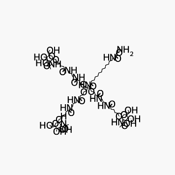 CC(=O)N[C@H]1C(O)[C@@H](O)C(CO)O[C@H]1OCCCCC(=O)NCCCNC(=O)CCOCC(COCCC(=O)NCCCNC(=O)CCCCO[C@@H]1OC(CO)[C@H](O)C(O)[C@@H]1NC(C)=O)(COCCC(=O)NCCCNC(=O)CCCCO[C@@H]1OC(CO)[C@H](O)C(O)[C@@H]1NC(C)=O)NC(=O)CCCCCCCCCCCCNC(=O)CON